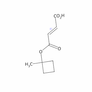 CC1(OC(=O)/C=C/C(=O)O)CCC1